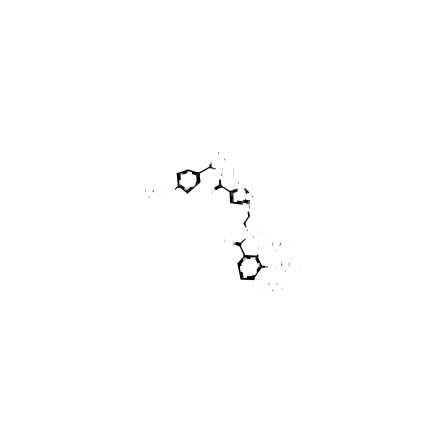 COc1ccc(C(=O)NCCn2cc(C(=O)NC(C#N)c3ccc(SC)cc3)nn2)c(OC)c1OC